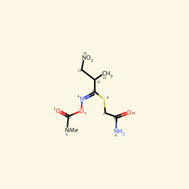 CNC(=O)O/N=C(\SCC(N)=O)C(C)C[N+](=O)[O-]